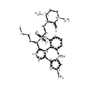 COc1cccc(OC)c1-n1c(-c2ccc(C)o2)nnc1N(CCSI)S(=O)(=O)CCN1C(=O)N(C)CC[C@H]1C